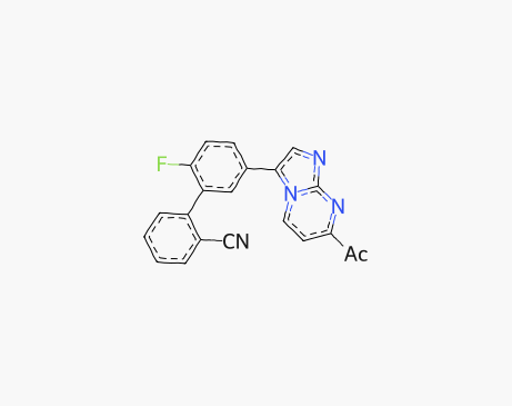 CC(=O)c1ccn2c(-c3ccc(F)c(-c4ccccc4C#N)c3)cnc2n1